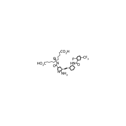 Nc1ncc(C(=O)N=S(=O)(CCCCC(=O)O)CCCCC(=O)O)cc1C#Cc1cccc(NC(=O)c2cc(C(F)(F)F)ccc2F)c1